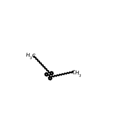 CCCCCCCCCCCCCCCCCCc1ccccc1[C](c1ccccc1)c1ccccc1CCCCCCCCCCCCCCCCCC